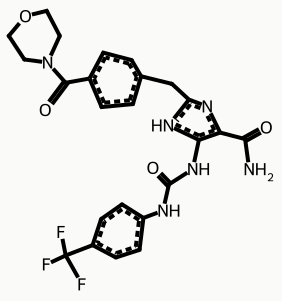 NC(=O)c1nc(Cc2ccc(C(=O)N3CCOCC3)cc2)[nH]c1NC(=O)Nc1ccc(C(F)(F)F)cc1